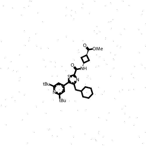 COC(=O)[C@H]1C[C@H](NC(=O)c2nc(CC3CCCCC3)c(-c3cc(C(C)(C)C)nc(C(C)(C)C)c3)s2)C1